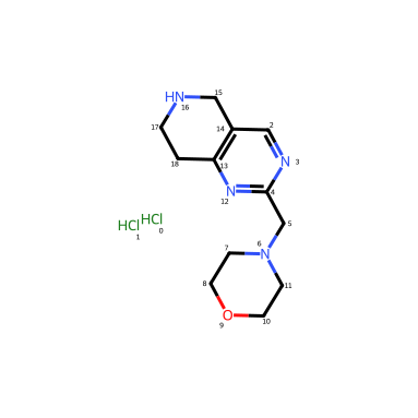 Cl.Cl.c1nc(CN2CCOCC2)nc2c1CNCC2